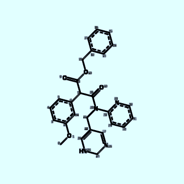 COc1cccc(C(C(=O)OCc2ccccc2)C(=O)N(CC2=CNCN=C2)c2ccccn2)c1